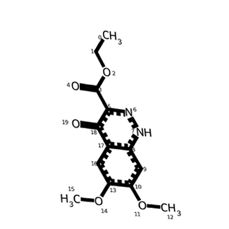 CCOC(=O)c1n[nH]c2cc(OC)c(OC)cc2c1=O